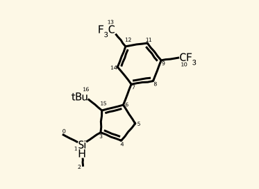 C[SiH](C)C1=CCC(c2cc(C(F)(F)F)cc(C(F)(F)F)c2)=C1C(C)(C)C